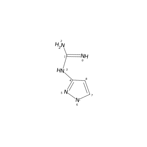 N=C(N)NC1=N[N]C=C1